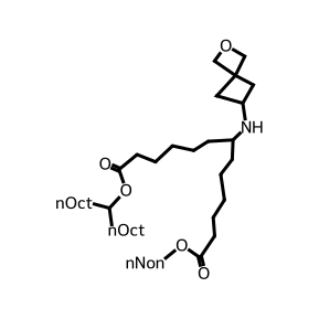 CCCCCCCCCOC(=O)CCCCCC(CCCCCC(=O)OC(CCCCCCCC)CCCCCCCC)NC1CC2(COC2)C1